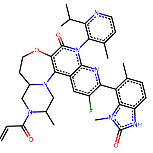 C=CC(=O)N1CC2CCOc3c(c4cc(F)c(-c5c(C)ccc6[nH]c(=O)n(C)c56)nc4n(-c4c(C)ccnc4C(C)C)c3=O)N2CC1C